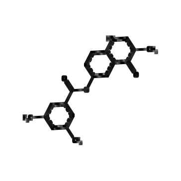 Cc1c[nH]c2ccc(OC(=O)c3cc(C(F)(F)F)cc(C(F)(F)F)c3)cc2c1=O